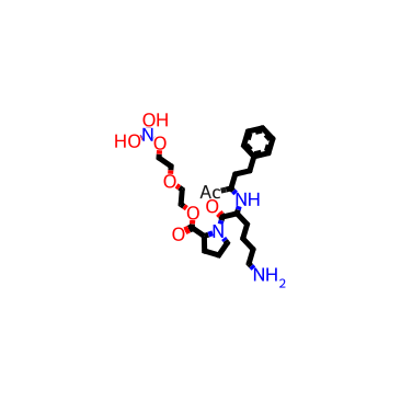 CC(=O)C(CCc1ccccc1)NC(CCCCN)C(=O)N1CCCC1C(=O)OCCOCCON(O)O